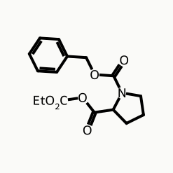 CCOC(=O)OC(=O)C1CCCN1C(=O)OCc1ccccc1